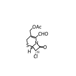 CC(=O)OCC1=C(C=O)N2C(=O)[C@H](Cl)[C@@H]2SC1